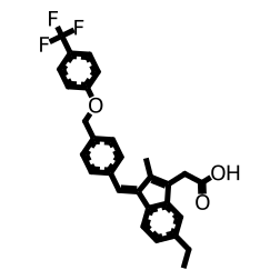 CCc1ccc2c(c1)C(CC(=O)O)=C(C)C2=Cc1ccc(COc2ccc(C(F)(F)F)cc2)cc1